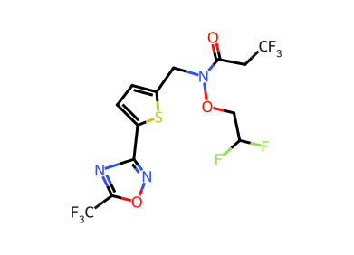 O=C(CC(F)(F)F)N(Cc1ccc(-c2noc(C(F)(F)F)n2)s1)OCC(F)F